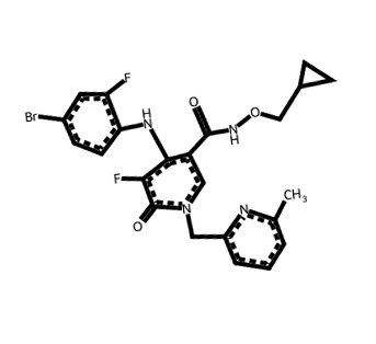 Cc1cccc(Cn2cc(C(=O)NOCC3CC3)c(Nc3ccc(Br)cc3F)c(F)c2=O)n1